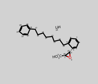 O=C(O)[C@@H]1O[C@H]1c1ccccc1CCCCCCCCc1ccccc1.[LiH]